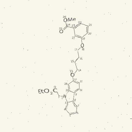 CCOC(=O)Cn1c2ccccc2c2ccc(OCCCCOc3cccc(C(=O)OC)c3)cc21